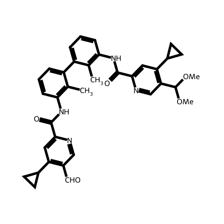 COC(OC)c1cnc(C(=O)Nc2cccc(-c3cccc(NC(=O)c4cc(C5CC5)c(C=O)cn4)c3C)c2C)cc1C1CC1